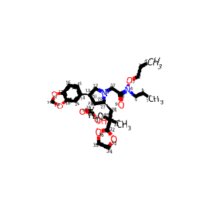 CCCON(CCC)C(=O)CN1C[C@H](c2ccc3c(c2)OCO3)[C@@H](C(=O)O)[C@@H]1CC(C)(C)C1OCCO1